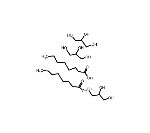 CCCCCCCC(=O)O.CCCCCCCC(=O)O.OCC(O)CO.OCC(O)CO.OCC(O)CO